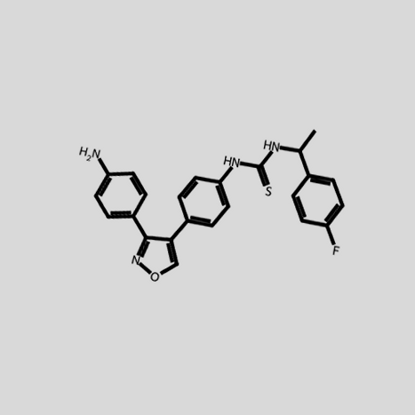 CC(NC(=S)Nc1ccc(-c2conc2-c2ccc(N)cc2)cc1)c1ccc(F)cc1